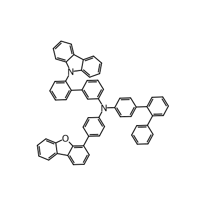 c1ccc(-c2ccccc2-c2ccc(N(c3ccc(-c4cccc5c4oc4ccccc45)cc3)c3cccc(-c4ccccc4-n4c5ccccc5c5ccccc54)c3)cc2)cc1